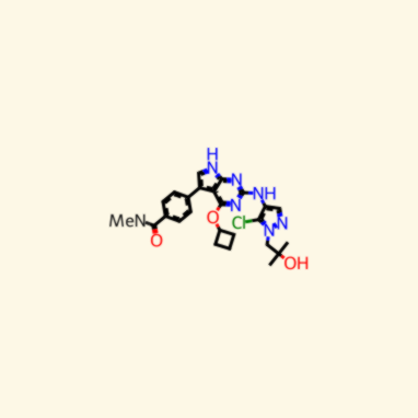 CNC(=O)c1ccc(-c2c[nH]c3nc(Nc4cnn(CC(C)(C)O)c4Cl)nc(OC4CCC4)c23)cc1